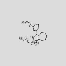 COCOc1cccc(C(C2CCCCCC2O)N(C)C)c1.O=C(O)C=CC(=O)O